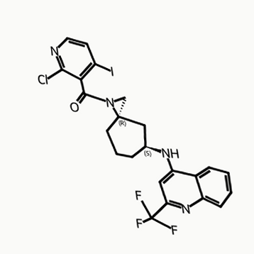 O=C(c1c(I)ccnc1Cl)N1C[C@]12CCC[C@H](Nc1cc(C(F)(F)F)nc3ccccc13)C2